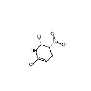 O=[N+]([O-])[C@@H]1CC=C(Cl)N[C@@H]1Cl